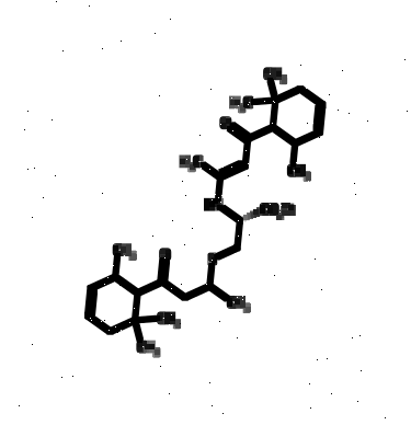 CCOC(=O)[C@H](CSC(C)CC(=O)C1C(C)C=CCC1(C)C)NC(C)=CC(=O)C1C(C)C=CCC1(C)C